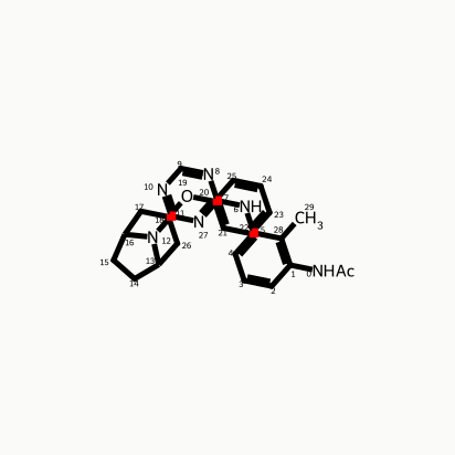 CC(=O)Nc1cccc(Nc2ncnc(N3C4CCC3CC(Oc3ccccc3)C4)n2)c1C